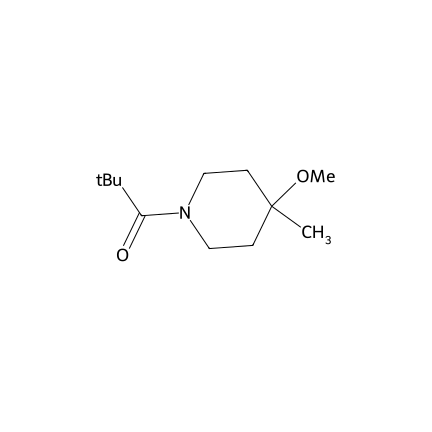 COC1(C)CCN(C(=O)C(C)(C)C)CC1